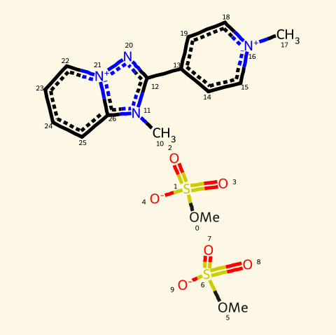 COS(=O)(=O)[O-].COS(=O)(=O)[O-].Cn1c(-c2cc[n+](C)cc2)n[n+]2ccccc12